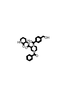 O=C1NCCCC1NC(=O)C1CN(C(=O)c2ccccc2)CCN1C(=O)c1ccc(CO)cc1